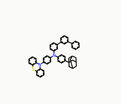 c1ccc(-c2cccc(-c3cccc(N(c4ccc(N5c6ccccc6Sc6ccccc65)cc4)c4ccc(C56CC7CC(CC(C7)C5)C6)cc4)c3)c2)cc1